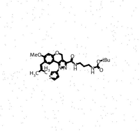 COc1cc2c(cc1C=C(C)C)-c1c(c(C(=O)NCCCNC(=O)OC(C)(C)C)nn1-c1ccsc1)CO2